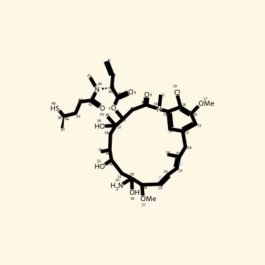 C=C[C@H](C(=O)OC1CC(=O)N(C)c2cc(cc(OC)c2Cl)C/C(C)=C/C=C/C(OC)C(N)(O)CC(O)C(C)CC1(C)O)N(C)C(=O)CC[C@@H](C)S